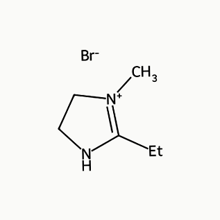 CCC1=[N+](C)CCN1.[Br-]